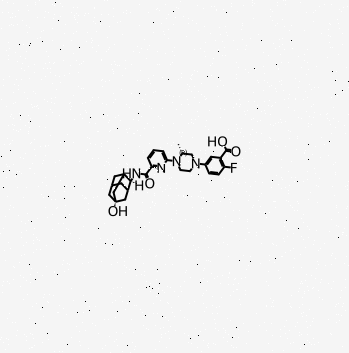 C[C@@H]1CN(c2ccc(F)c(C(=O)O)c2)CCN1c1cccc(C(=O)N[C@H]2C3CC4CC2C[C@](O)(C4)C3)n1